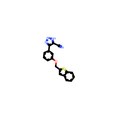 N#Cc1[nH]nnc1-c1cccc(OCc2cc3ccccc3s2)c1